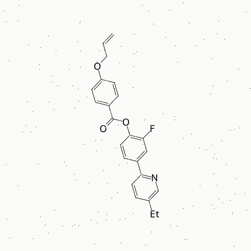 C=CCOc1ccc(C(=O)Oc2ccc(-c3ccc(CC)cn3)cc2F)cc1